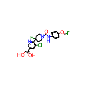 O=C(Nc1ccc(OCF)cc1)N1CCC(F)(c2ncc([C@H](O)CO)cc2Cl)CC1